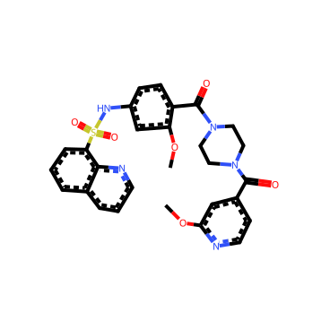 COc1cc(C(=O)N2CCN(C(=O)c3ccc(NS(=O)(=O)c4cccc5cccnc45)cc3OC)CC2)ccn1